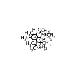 CC1CC(CP(C(C)(C)C)C(C)(C)C)C(P(C(C)(C)C)C(C)(C)C)CC1C